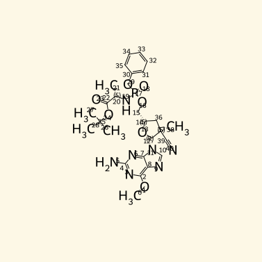 COc1nc(N)nc2c1ncn2[C@@H]1O[C@H](COP(=O)(N[C@@H](C)C(=O)OC(C)(C)C)Oc2ccccc2)C[C@@]1(C)C#N